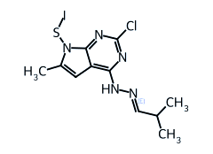 Cc1cc2c(N/N=C/C(C)C)nc(Cl)nc2n1SI